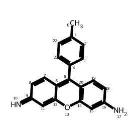 Cc1ccc(-c2c3ccc(=N)cc-3oc3cc(N)ccc23)cc1